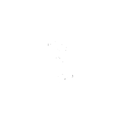 O=C1NC(=O)c2c(NCCCc3c(O)cccc3Cl)cccc21